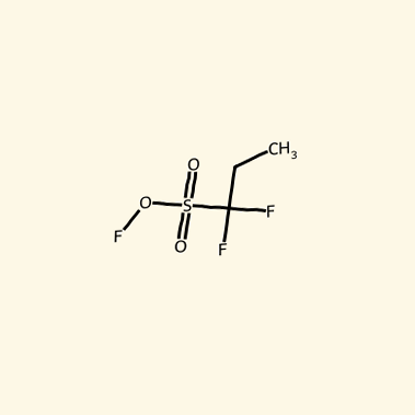 CCC(F)(F)S(=O)(=O)OF